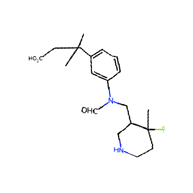 CC(C)(CC(=O)O)c1cccc(N(C=O)CC2CNCCC2(C)F)c1